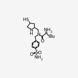 CCC(C)[C@H](N)C(=O)N(Cc1ccc(S(N)(=O)=O)cc1)CC1CC(S)CN1